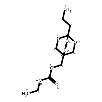 CCCC12OCC(COC(=O)NCC)(CO1)CO2